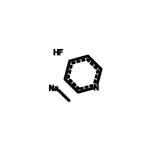 F.[CH3][Na].c1ccncc1